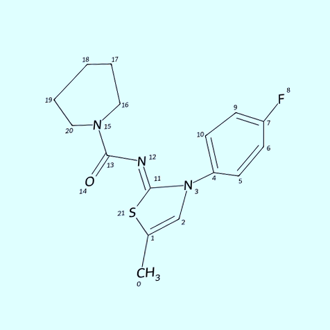 Cc1cn(-c2ccc(F)cc2)c(=NC(=O)N2CCCCC2)s1